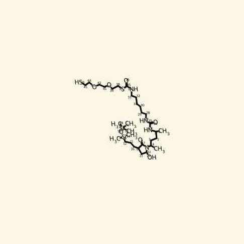 CC(CCC(C)N1C(=O)C(CCC[Si](C)(C)O[Si](C)(C)C)CC1O)NC(=O)NCCCCCCNC(=O)SCCOCCOCCS